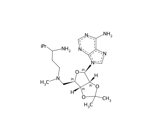 CC(C)C(N)CCN(C)C[C@H]1O[C@@H](n2cnc3c(N)ncnc32)[C@@H]2OC(C)(C)O[C@@H]21